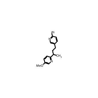 COc1ccc(C(C)CCc2ccc(C(C)C)nc2)nc1